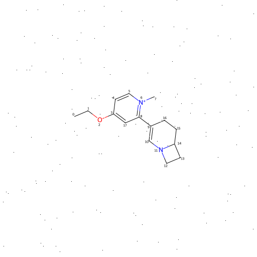 CCOc1cc[n+](C)c(C2=CN3CCC3CC2)c1